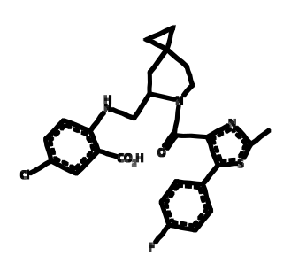 Cc1nc(C(=O)N2CCC3(CC3)CC2CNc2ccc(Cl)cc2C(=O)O)c(-c2ccc(F)cc2)s1